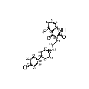 O=c1[nH]c2cccc(F)c2c(=O)n1CCCN1CC=C(c2ccc(Cl)cc2)CC1